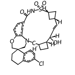 O=C1NS(=O)(=O)[C@H]2C[C@@H](/C=C/[C@H](O)[C@@H]3CC[C@H]3CN3C[C@@]4(CCCc5cc(Cl)ccc54)COc4ccc1cc43)C2